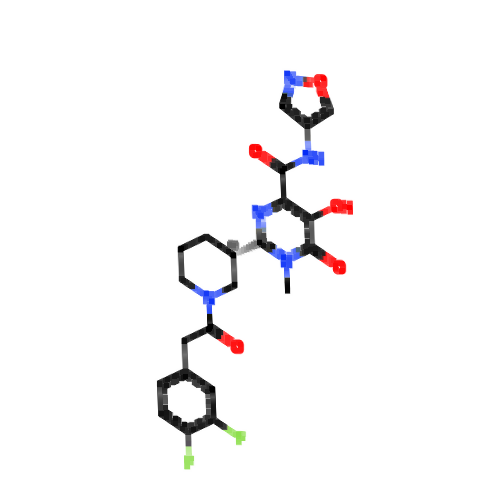 Cn1c([C@H]2CCCN(C(=O)Cc3ccc(F)c(F)c3)C2)nc(C(=O)Nc2cnoc2)c(O)c1=O